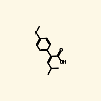 CSc1ccc(C(=CC(C)C)C(=O)O)cc1